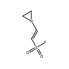 O=S(=O)(F)/C=C/N1CC1